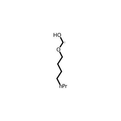 CCCCCCCO[C]O